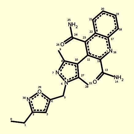 CCc1cc(Cn2nc(C)c(-c3c(C(N)=O)nc4ccccc4c3C(N)=O)c2C)on1